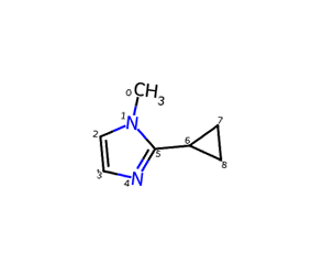 Cn1c[c]nc1C1CC1